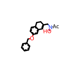 CC(=O)N(O)CC1=Cc2cc(OCc3ccccc3)ccc2CC1